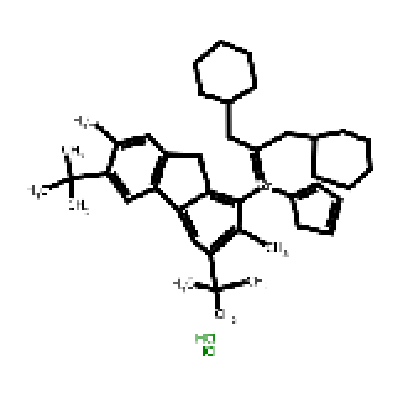 Cc1cc2c(cc1C(C)(C)C)-c1cc(C(C)(C)C)c(C)[c]([Zr]([C]3=CC=CC3)=[C](CC3CCCCC3)CC3CCCCC3)c1C2.Cl.Cl